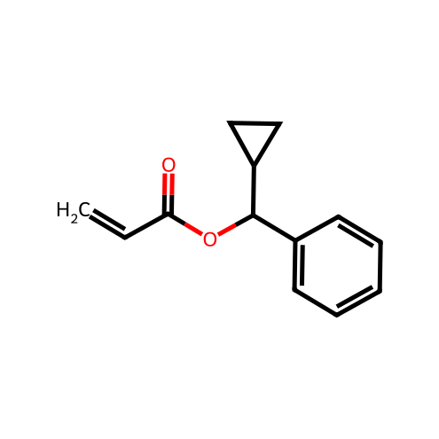 C=CC(=O)OC(c1ccccc1)C1CC1